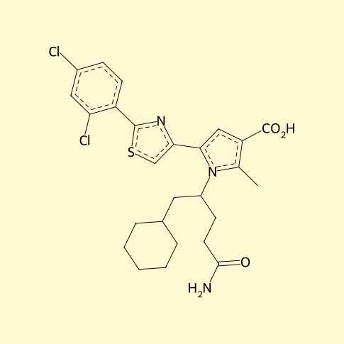 Cc1c(C(=O)O)cc(-c2csc(-c3ccc(Cl)cc3Cl)n2)n1C(CCC(N)=O)CC1CCCCC1